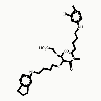 Cc1ccc(NCCCCCN(C)C(=O)C(OCCCCNc2ccc3c(c2)CCC3)C(OCC(=O)O)C(=O)O)cc1Cl